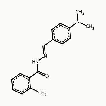 Cc1ccccc1C(=O)N/N=C/c1ccc(N(C)C)cc1